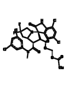 CN(C(=O)C1C2CC(F)(F)CN2[C@@]2(C(=O)Nc3c(Cl)cc(Cl)cc32)C1C(=O)OCOC(=O)C(C)(C)C)c1cc(Cl)cc(Cl)c1